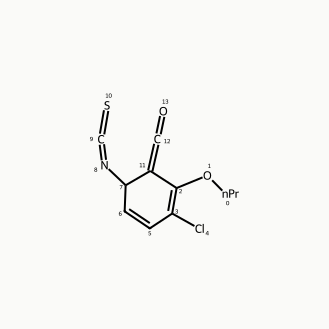 CCCOC1=C(Cl)C=CC(N=C=S)C1=C=O